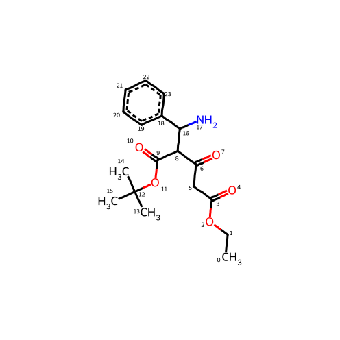 CCOC(=O)CC(=O)C(C(=O)OC(C)(C)C)C(N)c1ccccc1